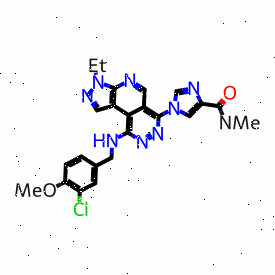 CCn1ncc2c3c(NCc4ccc(OC)c(Cl)c4)nnc(-n4cnc(C(=O)NC)c4)c3cnc21